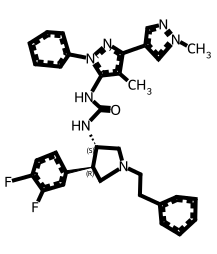 Cc1c(-c2cnn(C)c2)nn(-c2ccccc2)c1NC(=O)N[C@@H]1CN(CCc2ccccc2)C[C@H]1c1ccc(F)c(F)c1